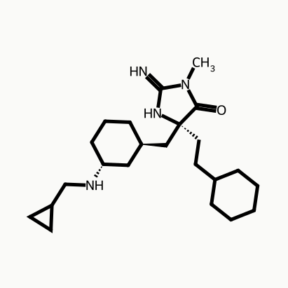 CN1C(=N)N[C@](CCC2CCCCC2)(C[C@@H]2CCC[C@@H](NCC3CC3)C2)C1=O